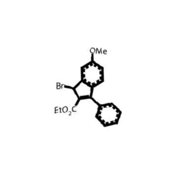 CCOC(=O)C1=C(c2ccccc2)c2ccc(OC)cc2C1Br